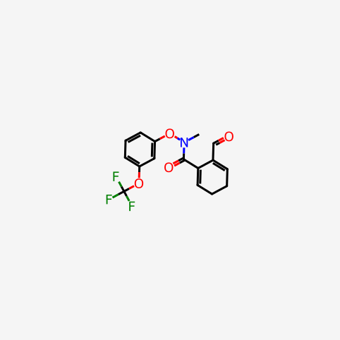 CN(Oc1cccc(OC(F)(F)F)c1)C(=O)C1=CCCC=C1C=O